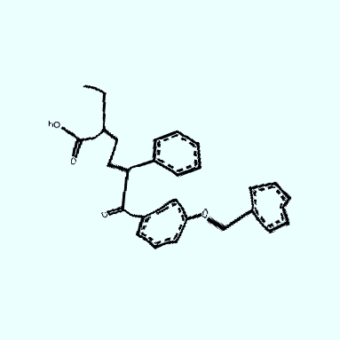 CCC(CCC(C(=O)c1cccc(OCc2ccccc2)c1)c1ccccc1)C(=O)O